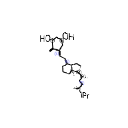 C=C1/C(=C/C=C2\CCC[C@@]3(C)C2CC[C@@H]3[C@H](C)/C=C/[C@H](C)C(C)C)C[C@@H](O)C[C@@H]1O